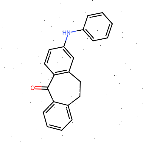 O=C1c2ccccc2CCc2cc(Nc3ccccc3)ccc21